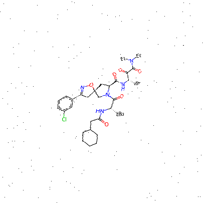 CCC[C@H](NC(=O)[C@@H]1C[C@]2(CC(c3cccc(Cl)c3)=NO2)CN1C(=O)[C@@H](NC(=O)CC1CCCCC1)C(C)(C)C)C(=O)C(=O)N(CC)CC